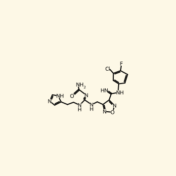 N=C(Nc1ccc(F)c(Cl)c1)c1nonc1CNC(=NC(N)=O)NCCc1cnc[nH]1